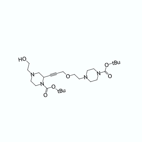 CC(C)(C)OC(=O)N1CCN(CCOCC#CC2CN(CCO)CCN2C(=O)OC(C)(C)C)CC1